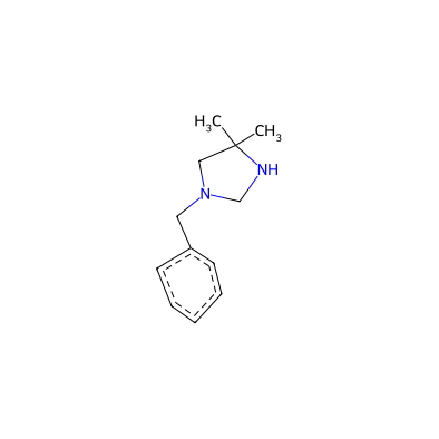 CC1(C)CN(Cc2ccccc2)CN1